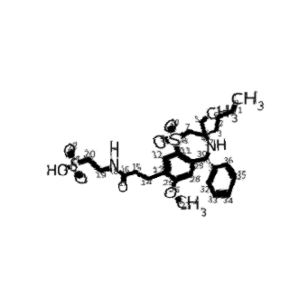 CCCC[C@]1(CC)CS(=O)(=O)c2cc(CCC(=O)NCCS(=O)(=O)O)c(OC)cc2[C@@H](c2ccccc2)N1